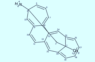 CC12CC3(N)C=CC=c4c(ccc5c4=CC1=CC=CC=C2C=5)=C3